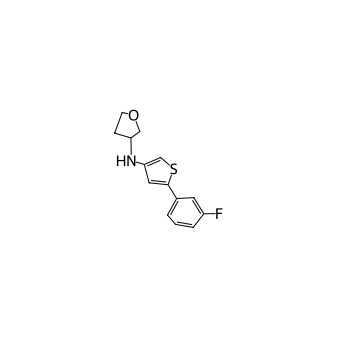 Fc1cccc(-c2cc(NC3CCOC3)cs2)c1